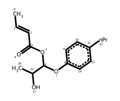 CC=CC(=O)OC(Oc1ccc(CCC)cc1)C(C)O